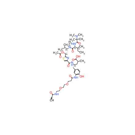 C#CC(=O)NCCOCCOCCC(=O)Nc1cc(C[C@@H](CC(C)C(=O)O)NC(=O)c2csc([C@@H](C[C@H](C(C)C)N(C)C(=O)[C@@H](NC(=O)C(C)(C)N(C)C)[C@@H](C)CC)OC(C)=O)n2)ccc1O